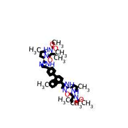 COC(=O)N[C@H](C(=O)N1C[C@@H](C)C[C@H]1c1ncc(-c2ccc(-c3ccc(-c4cnc([C@@H]5C[C@H](C)CN5C(=O)[C@H](NC(=O)OC)C(C)C)[nH]4)cc3)c3c2C2CC(C)C3C2)[nH]1)C(C)C